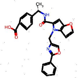 C[C@H](NC(=O)c1cc2occc2n1Cc1coc(-c2ccccc2)n1)c1ccc(C(=O)O)cc1